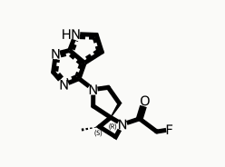 C[C@H]1CN(C(=O)CF)[C@]12CCN(c1ncnc3[nH]ccc13)C2